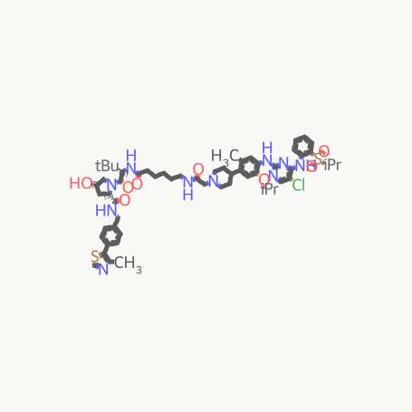 Cc1cc(Nc2ncc(Cl)c(Nc3ccccc3S(=O)(=O)C(C)C)n2)c(OC(C)C)cc1C1CCN(CC(=O)NCCCCCC(=O)N[C@H](C(=O)N2C[C@H](O)C[C@H]2C(=O)NCc2ccc(-c3scnc3C)cc2)C(C)(C)C)CC1